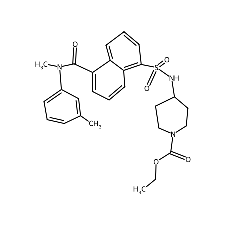 CCOC(=O)N1CCC(NS(=O)(=O)c2cccc3c(C(=O)N(C)c4cccc(C)c4)cccc23)CC1